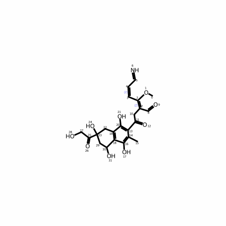 COC(/C=C\C=N)=C(\C=O)CC(=O)c1c(C)c(O)c2c(c1O)CC(O)(C(=O)CO)CC2O